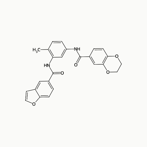 Cc1ccc(NC(=O)c2ccc3c(c2)OCCO3)cc1NC(=O)c1ccc2occc2c1